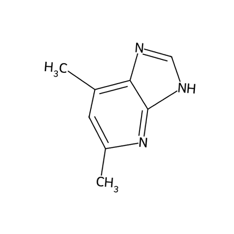 Cc1cc(C)c2nc[nH]c2n1